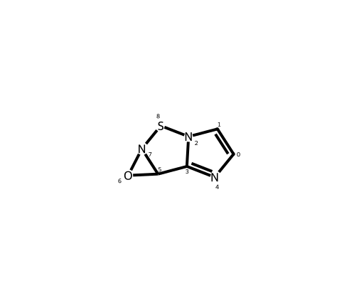 c1cn2c(n1)C1ON1S2